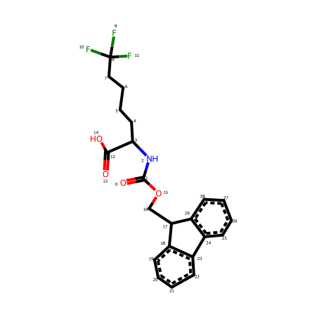 O=C(NC(CCCCC(F)(F)F)C(=O)O)OCC1c2ccccc2-c2ccccc21